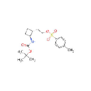 Cc1ccc(S(=O)(=O)OCC[C@H]2CC[C@@H]2NC(=O)OC(C)(C)C)cc1